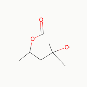 CC(CC(C)(C)[O])O[C]=O